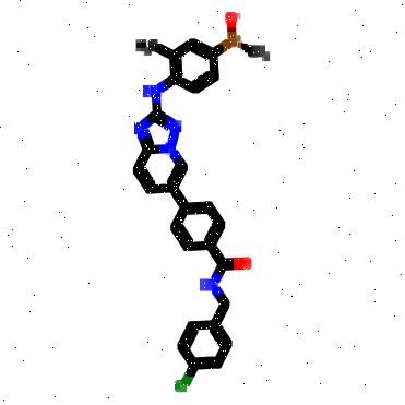 Cc1cc([S@@+](C)[O-])ccc1Nc1nc2ccc(-c3ccc(C(=O)NCc4ccc(Cl)cc4)cc3)cn2n1